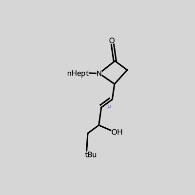 CCCCCCCN1C(=O)CC1/C=C/C(O)CC(C)(C)C